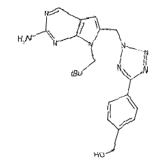 CC(C)(C)Cn1c(Cn2nnc(-c3ccc(CO)cc3)n2)cc2cnc(N)nc21